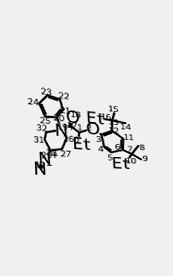 CCC(Oc1ccc(C(C)(C)CC)cc1C(C)(C)CC)C(=O)[N+]1(c2ccccc2)CCC(=[N+]=[N-])CC1